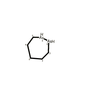 C1CC[AsH][AsH]CC1